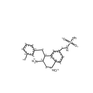 CCCS(=O)(=O)NCc1ccc2c(c1)C(Cc1cccc(F)c1)C(N)CC2.Cl